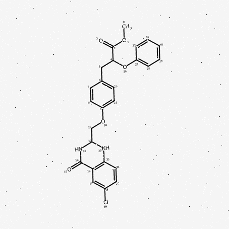 COC(=O)C(Cc1ccc(OCC2NC(=O)c3cc(Cl)ccc3N2)cc1)Oc1ccccc1